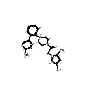 Cc1cc(C)n(CC(=O)N2CCN(c3ccccc3-c3cnc(C)nc3)CC2)n1